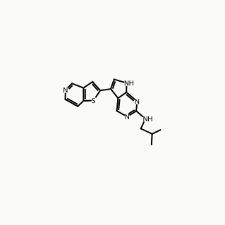 CC(C)CNc1ncc2c(-c3cc4cnccc4s3)c[nH]c2n1